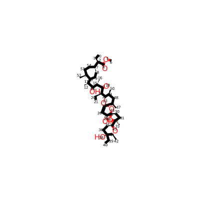 CC[C@@H](C(=O)OC)[C@@H]1CCC([C@@H](C)[C@H](O)[C@H](C)C(=O)[C@H](CC)[C@H]2O[C@]3(C=C[C@@H](O)[C@]4(CC[C@@](C)([C@H]5CC[C@](O)(CC)[C@H](C)O5)O4)O3)[C@H](C)C[C@@H]2C)[C@@H](C)CC1